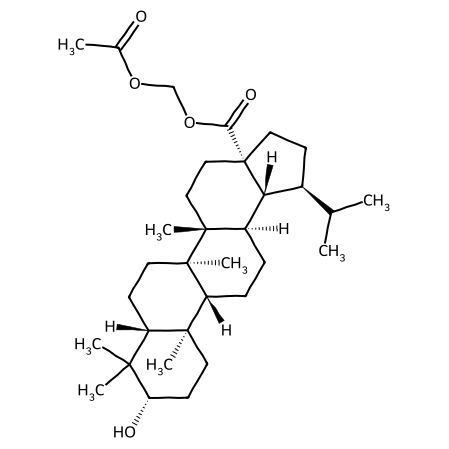 CC(=O)OCOC(=O)[C@]12CC[C@@H](C(C)C)[C@@H]1[C@H]1CC[C@@H]3[C@@]4(C)CC[C@H](O)C(C)(C)[C@@H]4CC[C@@]3(C)[C@]1(C)CC2